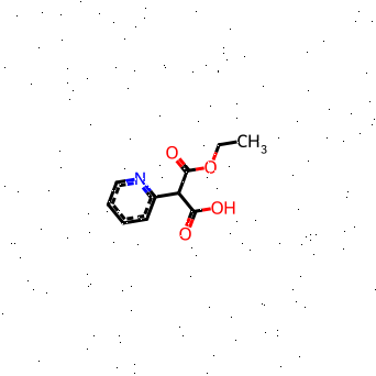 CCOC(=O)C(C(=O)O)c1ccccn1